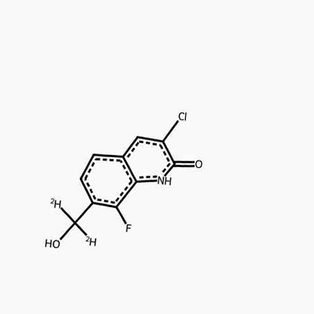 [2H]C([2H])(O)c1ccc2cc(Cl)c(=O)[nH]c2c1F